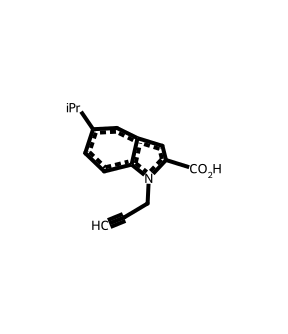 C#CCn1c(C(=O)O)cc2cc(C(C)C)ccc21